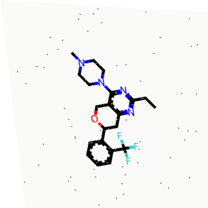 CCc1nc2c(c(N3CCN(C)CC3)n1)COC(c1ccccc1C(F)(F)F)C2